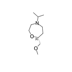 COC[C@H]1CCN(C(C)C)CCO1